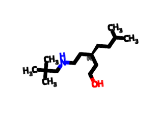 CC(C)CC[C@@H](CCO)CCNCC(C)(C)C